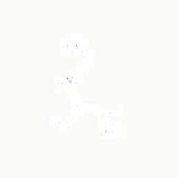 C=CNC(C)OC